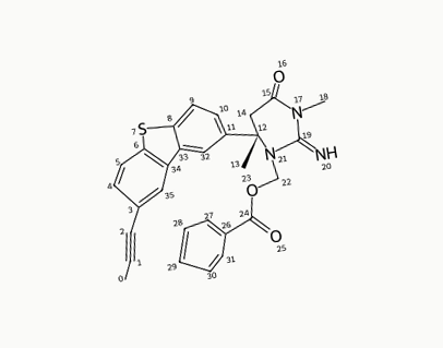 CC#Cc1ccc2sc3ccc([C@]4(C)CC(=O)N(C)C(=N)N4COC(=O)c4ccccc4)cc3c2c1